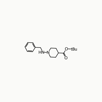 CC(C)(C)OC(=O)C1CCN(NCc2ccccc2)CC1